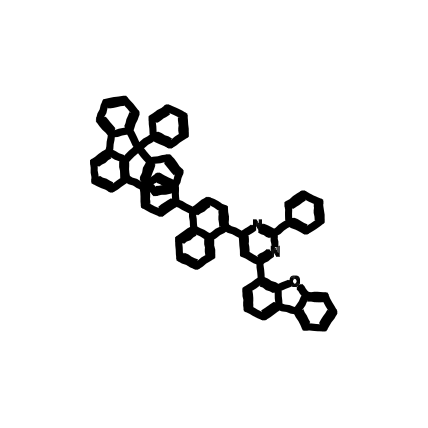 c1ccc(-c2nc(-c3ccc(-c4ccc(-c5cccc6c5C(c5ccccc5)(c5ccccc5)c5ccccc5-6)cc4)c4ccccc34)cc(-c3cccc4c3oc3ccccc34)n2)cc1